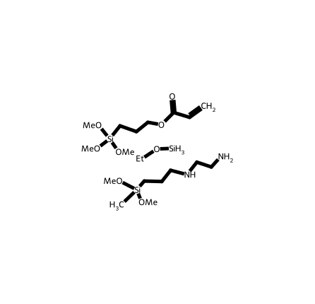 C=CC(=O)OCCC[Si](OC)(OC)OC.CCO[SiH3].CO[Si](C)(CCCNCCN)OC